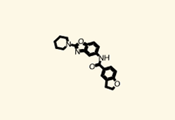 O=C(Nc1ccc2oc(N3CCCCC3)nc2c1)c1ccc2c(c1)CCO2